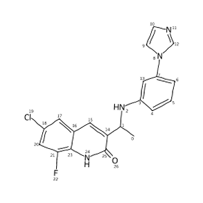 CC(Nc1cccc(-n2ccnc2)c1)c1cc2cc(Cl)cc(F)c2[nH]c1=O